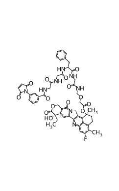 CC[C@@]1(O)C(=O)OCc2c1cc1n(c2=O)Cc2c-1nc1cc(F)c(C)c3c1c2[C@@](C)(OC(=O)COCNC(=O)CNC(=O)[C@H](Cc1ccccc1)NC(=O)CNC(=O)CNC(=O)c1cccc(N2C(=O)C=CC2=O)c1)CC3